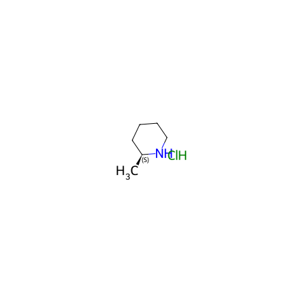 C[C@H]1CCCCN1.Cl